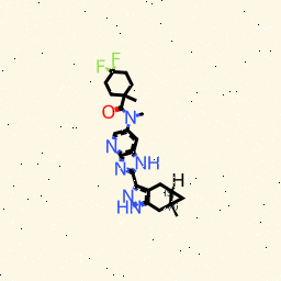 CN(C(=O)C1(C)CCC(F)(F)CC1)c1cnc2nc(-c3n[nH]c4c3C[C@@H]3C[C@]3(C)C4)[nH]c2c1